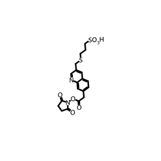 O=C(Cc1ccc2cc(CSCCCS(=O)(=O)O)cnc2c1)ON1C(=O)CCC1=O